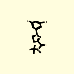 CN(C(=O)C1=NN(c2cc(Cl)cc(Cl)c2)CC1)C(C)(C)C